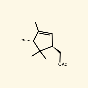 CC(=O)OC[C@@H]1C=C(C)[C@@H](C)C1(C)C